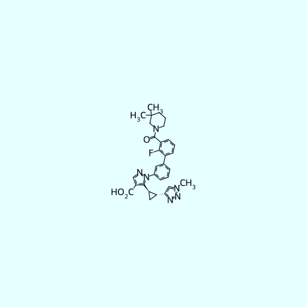 Cn1cc([C@@H]2C[C@H]2c2c(C(=O)O)cnn2-c2cccc(-c3cccc(C(=O)N4CCCC(C)(C)C4)c3F)c2)nn1